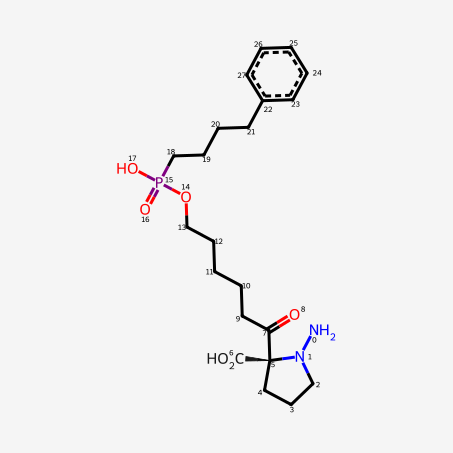 NN1CCC[C@]1(C(=O)O)C(=O)CCCCCOP(=O)(O)CCCCc1ccccc1